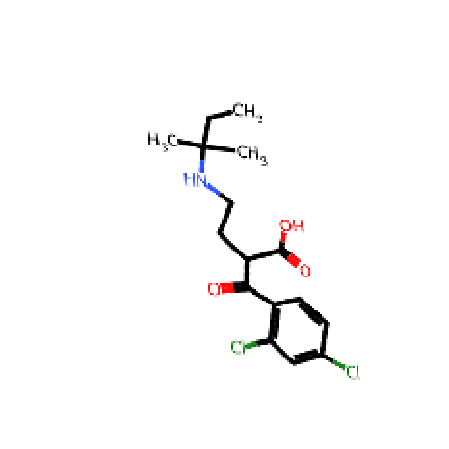 CCC(C)(C)NCCC(C(=O)O)C(=O)c1ccc(Cl)cc1Cl